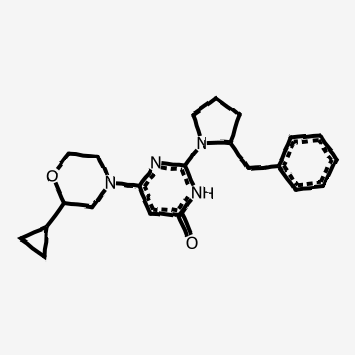 O=c1cc(N2CCOC(C3CC3)C2)nc(N2CCCC2Cc2ccccc2)[nH]1